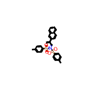 C=C(CN(S(=O)(=O)c1ccc(C)cc1)S(=O)(=O)c1ccc(C)cc1)c1ccc2ccccc2c1